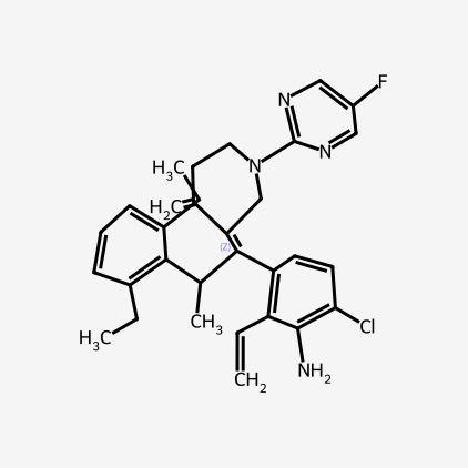 C=Cc1c(/C(=C2\CN(c3ncc(F)cn3)CCC2=C)C(C)c2c(CC)cccc2CC)ccc(Cl)c1N